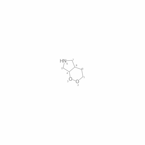 [CH]1COOC2CNCC12